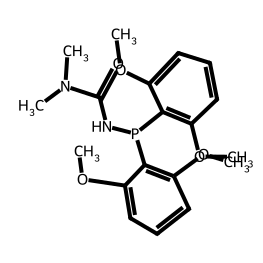 COc1cccc(OC)c1P(NC(=O)N(C)C)c1c(OC)cccc1OC